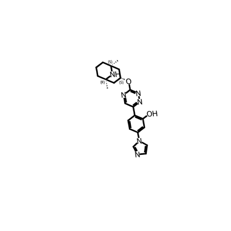 C[C@]12CCC[C@](C)(C[C@@H](Oc3ncc(-c4ccc(-n5ccnc5)cc4O)nn3)C1)N2